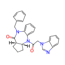 O=C1[C@H]2CCC[C@H]2N(C(=O)Cn2cnc3ccccc32)c2ccccc2N1Cc1ccccc1